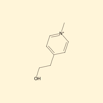 C[n+]1ccc(CCO)cc1